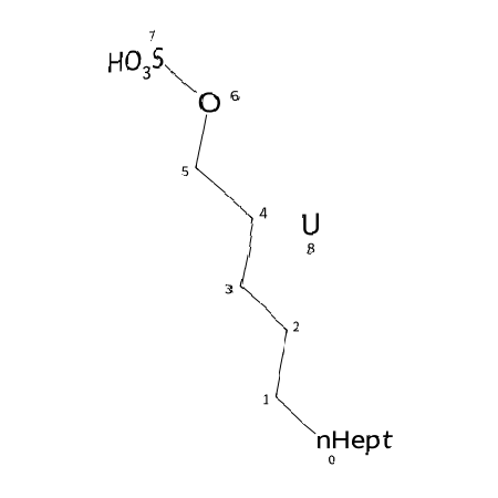 CCCCCCCCCCCCOS(=O)(=O)O.[U]